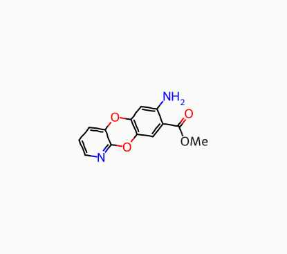 COC(=O)c1cc2c(cc1N)Oc1cccnc1O2